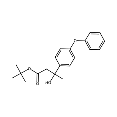 CC(C)(C)OC(=O)CC(C)(O)c1ccc(Oc2ccccc2)cc1